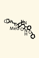 COc1cc2c(C3C(=O)Nc4c(OCc5ccccc5)cccc43)ncnc2cc1OCCCN1CCOCC1